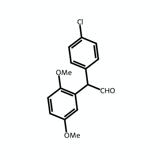 COc1ccc(OC)c(C(C=O)c2ccc(Cl)cc2)c1